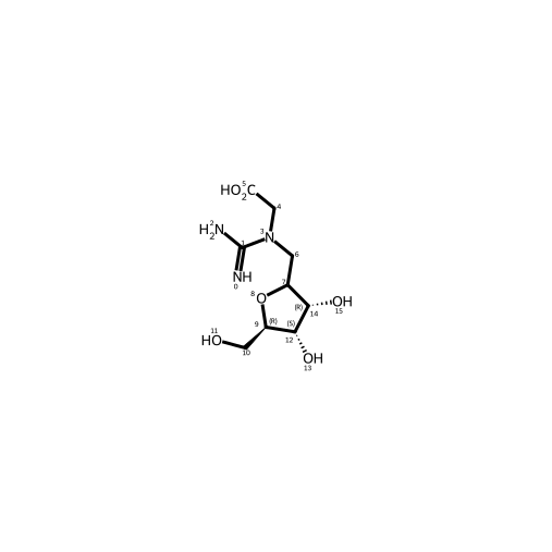 N=C(N)N(CC(=O)O)CC1O[C@H](CO)[C@@H](O)[C@H]1O